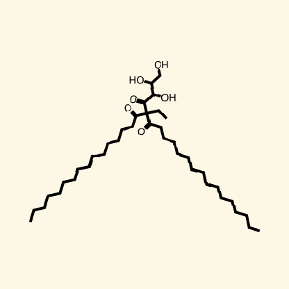 CCCCCCCCCCCCCCCC(=O)C(CC)(C(=O)CCCCCCCCCCCCCCC)C(=O)C(O)C(O)CO